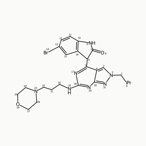 CC(C)Cn1cc2c(C3C(=O)Nc4ccc(Br)cc43)nc(NCCCN3CCOCC3)nc2n1